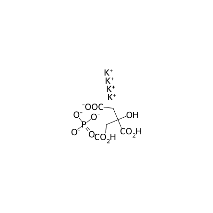 O=C([O-])CC(O)(CC(=O)O)C(=O)O.O=P([O-])([O-])[O-].[K+].[K+].[K+].[K+]